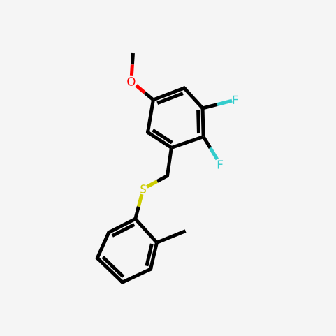 COc1cc(F)c(F)c(CSc2ccccc2C)c1